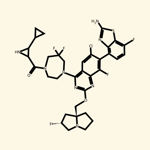 Nc1nc2c(-c3c(Cl)cc4c(N5CCN(C(=O)C6NC6C6CC6)CC(F)(F)C5)nc(OC[C@@]56CCCN5C[C@H](F)C6)nc4c3F)ccc(F)c2s1